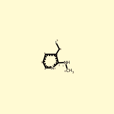 CNc1ncccc1CI